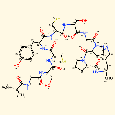 CC(=O)N[C@@H](C)C(=O)NCC(=O)N[C@@H](CO)C(=O)N[C@@H](CS)C(=O)N[C@@H](Cc1ccc(O)cc1)C(=O)N[C@@H](CS)C(=O)N[C@@H](CO)C(=O)NCC(=O)N1CCC[C@H]1C(=O)N1CCC[C@H]1C(=O)N[C@H](C=O)CCCN